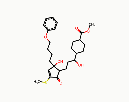 COC(=O)C1CCC(C(O)CCC2C(=O)C(SC)=CC2(O)CCCCOc2ccccc2)CC1